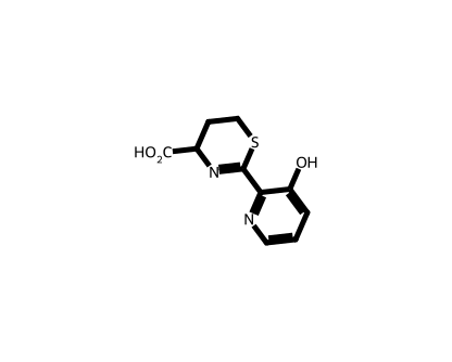 O=C(O)C1CCSC(c2ncccc2O)=N1